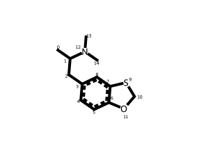 CC(Cc1ccc2c(c1)SCO2)N(C)C